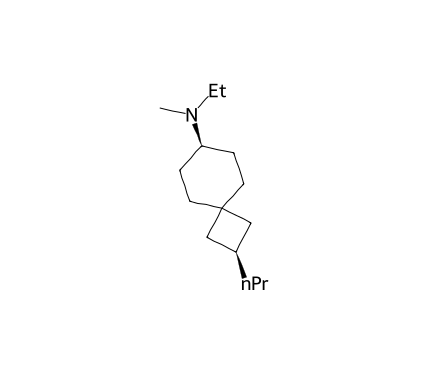 CCC[C@H]1CC2(CC[C@H](N(C)CC)CC2)C1